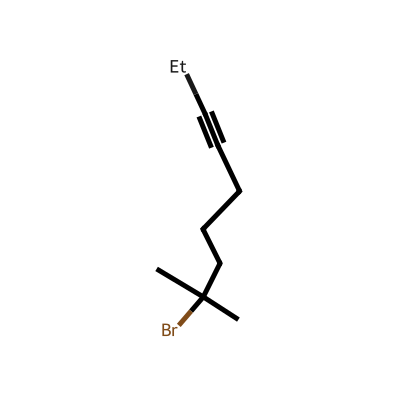 CCC#CCCCC(C)(C)Br